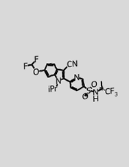 CC(C)n1c(-c2ccc(S(=O)(=O)N[C@H](C)C(F)(F)F)cn2)c(C#N)c2ccc(OC(F)F)cc21